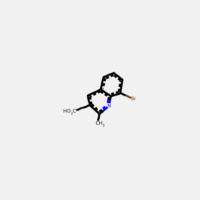 Cc1nc2c(Br)cccc2cc1C(=O)O